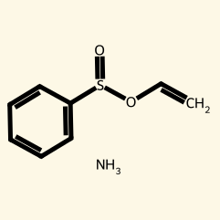 C=COS(=O)c1ccccc1.N